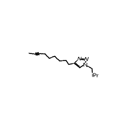 CC#CCCCCCCc1cn(CC(C)C)nn1